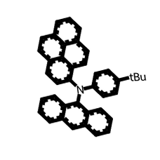 CC(C)(C)c1ccc(N(c2c3ccccc3cc3ccccc23)c2ccc3ccc4cccc5ccc2c3c45)cc1